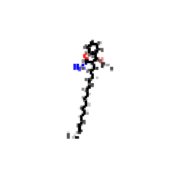 CCCCCCCCCCCCCCCCC(C(N)=O)C(OC)c1ccccc1